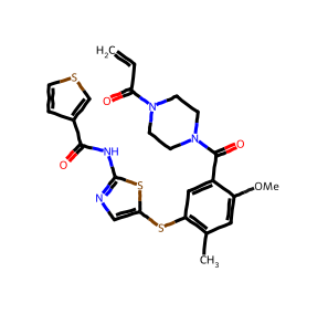 C=CC(=O)N1CCN(C(=O)c2cc(Sc3cnc(NC(=O)c4ccsc4)s3)c(C)cc2OC)CC1